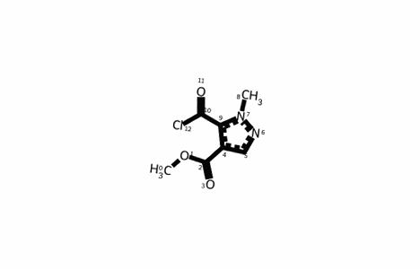 COC(=O)c1cnn(C)c1C(=O)Cl